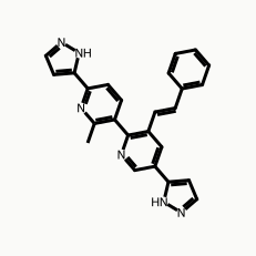 Cc1nc(-c2ccn[nH]2)ccc1-c1ncc(-c2ccn[nH]2)cc1C=Cc1ccccc1